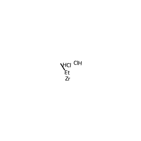 CCC.Cl.Cl.[Zr]